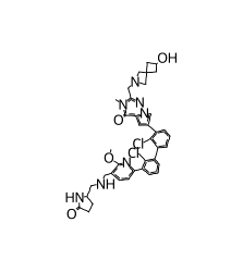 COc1nc(-c2cccc(-c3cccc(-c4cc5c(=O)n(C)c(CN6CC7(CC(O)C7)C6)nn5c4)c3Cl)c2Cl)ccc1CNCC1CCC(=O)N1